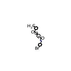 Cc1cccc(C(=O)N2CC3(CCN(C(=O)/C=C/c4ccc(Br)cc4)CC3)C2)c1